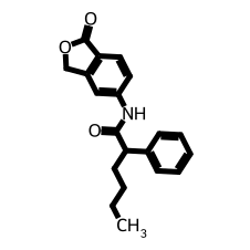 CCCCC(C(=O)Nc1ccc2c(c1)COC2=O)c1ccccc1